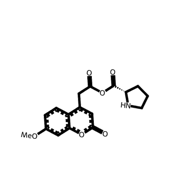 COc1ccc2c(CC(=O)OC(=O)[C@@H]3CCCN3)cc(=O)oc2c1